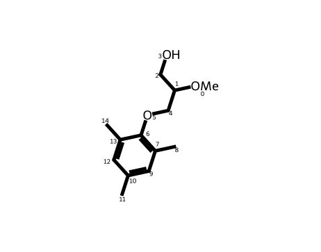 COC(CO)COc1c(C)cc(C)cc1C